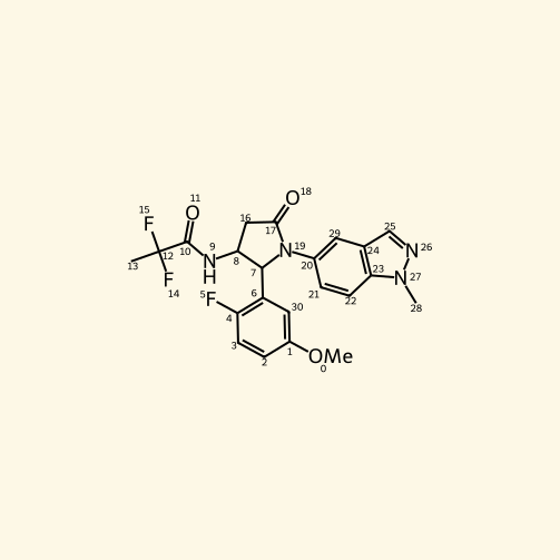 COc1ccc(F)c(C2C(NC(=O)C(C)(F)F)CC(=O)N2c2ccc3c(cnn3C)c2)c1